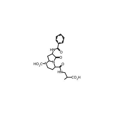 CC(CNC(=O)C1CCN(C(=O)O)C2CC(NC(=O)c3ccccc3)C(=O)N12)C(=O)O